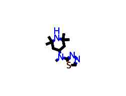 CN(c1nncs1)C1CC(C)(C)NC(C)(C)C1